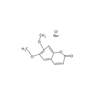 COc1cc2ccc(=O)oc2cc1OC.[Cl-].[Na+]